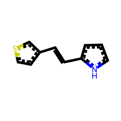 C(=Cc1ccc[nH]1)c1ccsc1